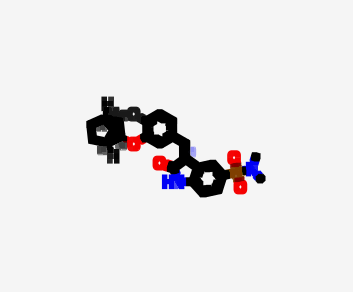 COc1ccc(/C=C2\C(=O)Nc3ccc(S(=O)(=O)N(C)C)cc32)cc1O[C@H]1C[C@@H]2CC[C@H]1C2